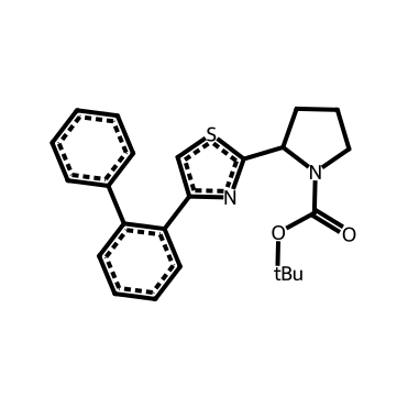 CC(C)(C)OC(=O)N1CCCC1c1nc(-c2ccccc2-c2ccccc2)cs1